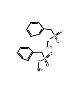 CCCOS(=O)(=O)Cc1ccccc1.CCCOS(=O)(=O)Cc1ccccc1